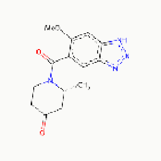 COc1cc2[nH]nnc2cc1C(=O)N1CCC(=O)C[C@H]1C